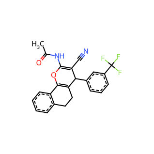 CC(=O)NC1=C(C#N)C(c2cccc(C(F)(F)F)c2)C2=C(O1)c1ccccc1CC2